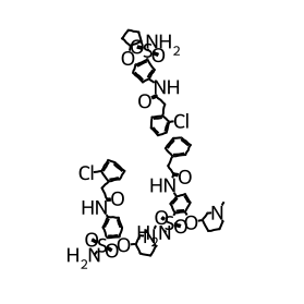 CN1CCCC(Oc2ccc(NC(=O)Cc3ccccc3)cc2S(N)(=O)=O)C1.CN1CCCC(Oc2ccc(NC(=O)Cc3ccccc3Cl)cc2S(N)(=O)=O)C1.NS(=O)(=O)c1cc(NC(=O)Cc2ccccc2Cl)ccc1OC1CCCC1